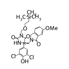 COc1ccc2c(c1)C(=O)N(C[C@@]1(c3cc(Cl)c(O)c(Cl)c3)NC(=O)N(COCC[Si](C)(C)C)C1=O)C2